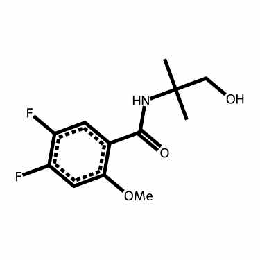 COc1cc(F)c(F)cc1C(=O)NC(C)(C)CO